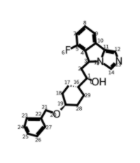 O[C@H](CC1c2c(F)cccc2-c2cncn21)[C@H]1CC[C@H](OCc2ccccc2)CC1